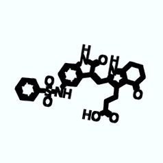 O=C(O)CCc1c(/C=C2\C(=O)Nc3ccc(NS(=O)(=O)c4ccccc4)cc32)[nH]c2c1C(=O)CCC2